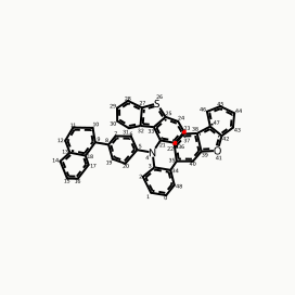 c1ccc(N(c2ccc(-c3cccc4ccccc34)cc2)c2cccc3sc4ccccc4c23)c(-c2ccc3c(c2)oc2ccccc23)c1